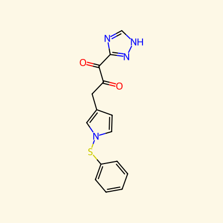 O=C(Cc1ccn(Sc2ccccc2)c1)C(=O)c1nc[nH]n1